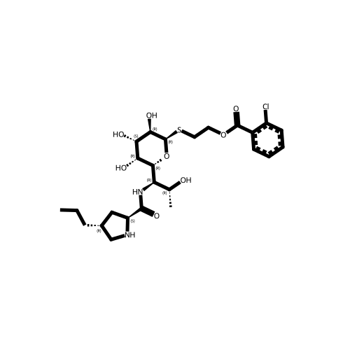 CCC[C@H]1CN[C@H](C(=O)N[C@@H]([C@H]2O[C@H](SCCOC(=O)c3ccccc3Cl)[C@H](O)[C@@H](O)[C@H]2O)[C@@H](C)O)C1